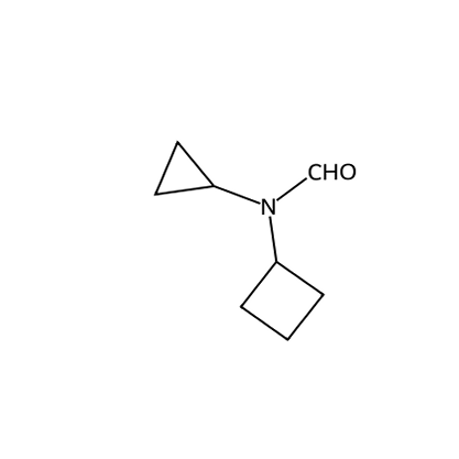 O=CN(C1CCC1)C1CC1